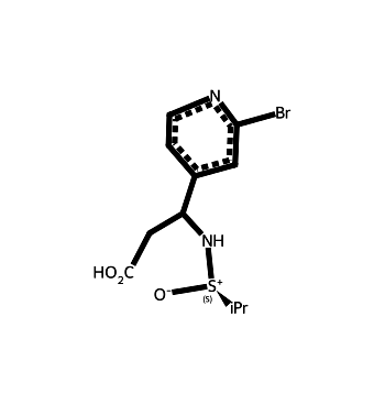 CC(C)[S@@+]([O-])NC(CC(=O)O)c1ccnc(Br)c1